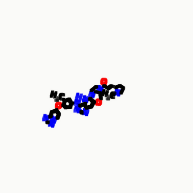 Cc1cc(Nc2ncnc3cc4c(nc23)N2CCN(C(=O)/C=C/[C@H]3CCCN3C)C(=CO4)C2)ccc1Oc1ccn2ncnc2c1